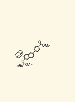 CCCCC(OC(C)=O)Oc1cc2ccc(-c3ccc(C(=O)OC)cc3)cc2cc1C12CC3CC(CC(C3)C1)C2